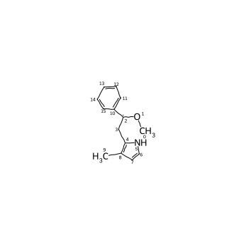 CO[C](Cc1[nH]ccc1C)c1ccccc1